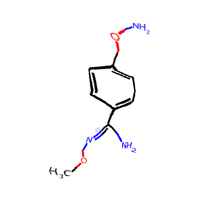 CO/N=C(\N)c1ccc(ON)cc1